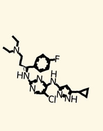 CCN(CC)CC[C@H](Nc1ncc(Cl)c(Nc2cc(C3CC3)[nH]n2)n1)c1ccc(F)cc1